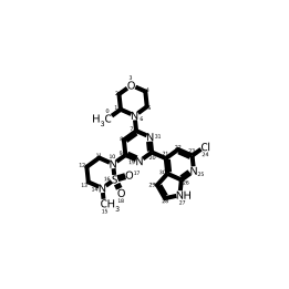 CC1COCCN1c1cc(N2CCCN(C)S2(=O)=O)nc(-c2cc(Cl)nc3[nH]ccc23)n1